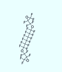 FC(F)(OC(F)(F)C1(F)OC1(F)F)C(F)(F)C(F)(F)C(F)(F)C(F)(F)C(F)(F)OC(F)(F)C1(F)OC1(F)F